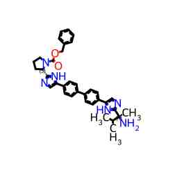 CC(C)[C@@](C)(N)c1ncc(-c2ccc(-c3ccc(-c4cnc([C@@H]5CCCN5C(=O)OCc5ccccc5)[nH]4)cc3)cc2)[nH]1